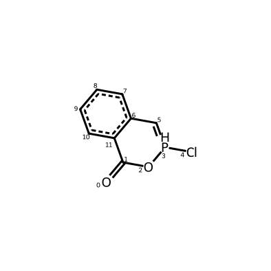 O=C1O[PH](Cl)=Cc2ccccc21